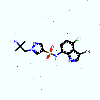 CC(C)(N)Cn1cc(S(=O)(=O)Nc2ccc(Cl)c3c(C#N)c[nH]c23)cn1